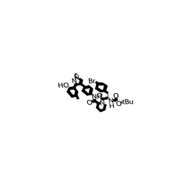 Cc1ccc(O)c(-c2nn(C)cc2-c2ccc(NC(=O)C3CCCCN3C(=O)[C@H](Cc3ccc(Br)cc3)NC(=O)OC(C)(C)C)cc2)c1